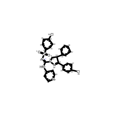 O=S(=O)(/N=C(/Nc1ccncc1)N1CC(c2ccccc2)C(c2ccc(Cl)cc2)=N1)c1ccc(Cl)cc1